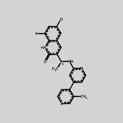 Cc1cnccc1-c1ccnc(N[C@@H](C)c2cc3cc(Cl)cc(F)c3[nH]c2=O)c1